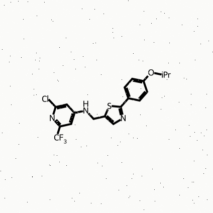 CC(C)Oc1ccc(-c2ncc(CNc3cc(Cl)nc(C(F)(F)F)c3)s2)cc1